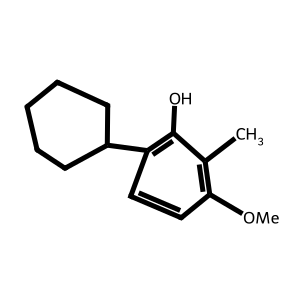 COc1ccc(C2CCCCC2)c(O)c1C